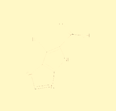 O=C(O)c1[nH]c2nc[se]c2c1Br